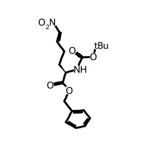 CC(C)(C)OC(=O)N[C@H](CC/C=C/[N+](=O)[O-])C(=O)OCc1ccccc1